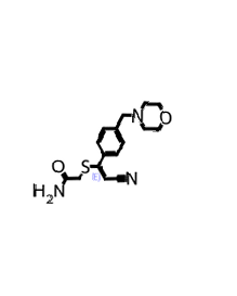 N#C/C=C(/SCC(N)=O)c1ccc(CN2CCOCC2)cc1